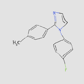 Cc1ccc(-c2nccn2-c2ccc(F)cc2)cc1